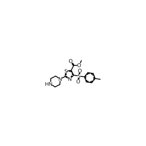 COC(=O)c1sc(N2CCNCC2)nc1S(=O)(=O)c1ccc(C)cc1